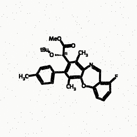 COC(=O)[C@@H](OC(C)(C)C)c1c(C)c2c(c(C)c1-c1ccc(C)cc1)Oc1cccc(F)c1C=N2